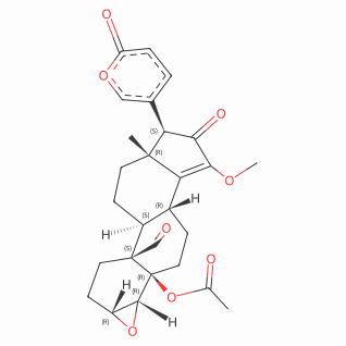 COC1=C2[C@@H]3CC[C@]4(OC(C)=O)[C@@H]5O[C@@H]5CC[C@]4(C=O)[C@H]3CC[C@]2(C)[C@@H](c2ccc(=O)oc2)C1=O